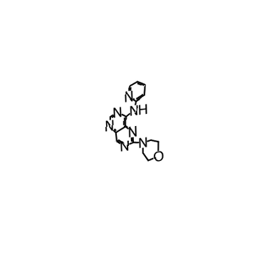 c1ccc(Nc2ncnc3cnc(N4CCOCC4)nc23)nc1